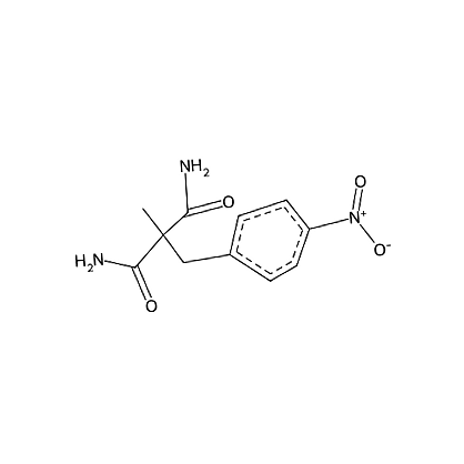 CC(Cc1ccc([N+](=O)[O-])cc1)(C(N)=O)C(N)=O